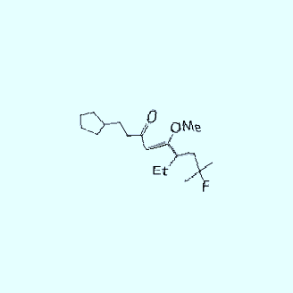 CCC(CC(C)(C)F)/C(=C/C(=O)CCC1CCCC1)OC